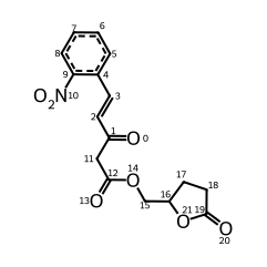 O=C(C=Cc1ccccc1[N+](=O)[O-])CC(=O)OCC1CCC(=O)O1